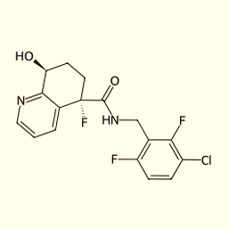 O=C(NCc1c(F)ccc(Cl)c1F)[C@]1(F)CC[C@H](O)c2ncccc21